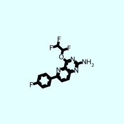 Nc1nc(OC(F)C(F)F)c2nc(-c3ccc(F)cc3)ccc2n1